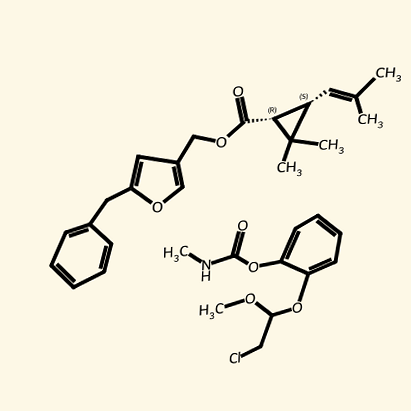 CC(C)=C[C@H]1[C@@H](C(=O)OCc2coc(Cc3ccccc3)c2)C1(C)C.CNC(=O)Oc1ccccc1OC(CCl)OC